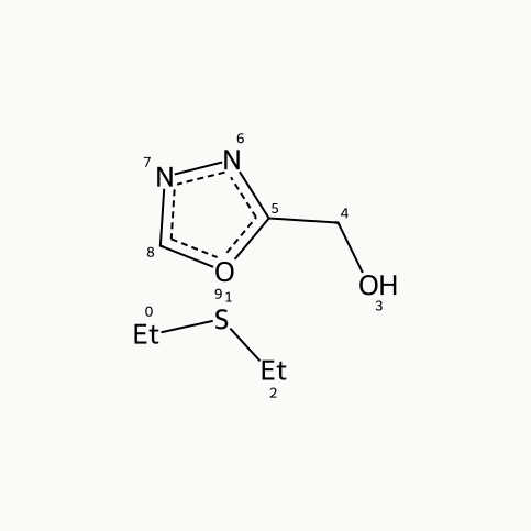 CCSCC.OCc1nnco1